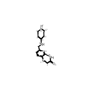 O=C1CSc2ccc(CNC3CCNCC3)nc2N1